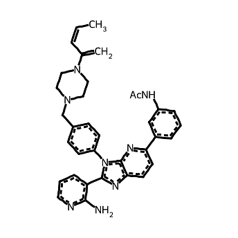 C=C(/C=C\C)N1CCN(Cc2ccc(-n3c(-c4cccnc4N)nc4ccc(-c5cccc(NC(C)=O)c5)nc43)cc2)CC1